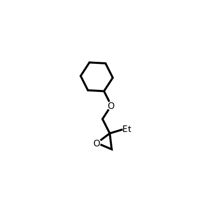 CCC1(COC2CCCCC2)CO1